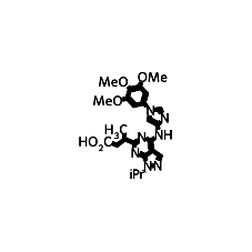 COc1cc(-n2cnc(Nc3nc(C(C)CC(=O)O)nc4c3cnn4C(C)C)c2)cc(OC)c1OC